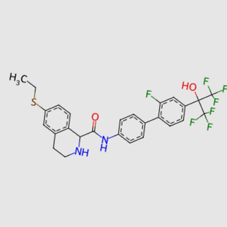 CCSc1ccc2c(c1)CCNC2C(=O)Nc1ccc(-c2ccc(C(O)(C(F)(F)F)C(F)(F)F)cc2F)cc1